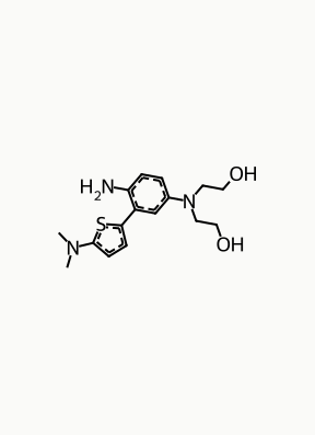 CN(C)c1ccc(-c2cc(N(CCO)CCO)ccc2N)s1